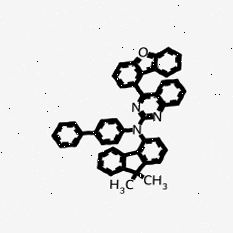 CC1(C)c2ccccc2-c2c(N(c3ccc(-c4ccccc4)cc3)c3nc(-c4cccc5oc6ccccc6c45)c4ccccc4n3)cccc21